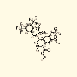 CCOC(=O)N1c2cc(OC)c(CS(C)(=O)=O)cc2C(N(Cc2cc(C(F)(F)F)cc(C(F)(F)F)c2)C(=O)OC)CC1C